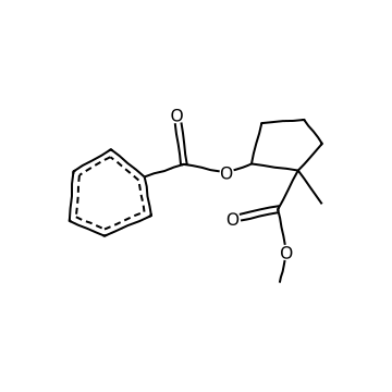 COC(=O)C1(C)CCCC1OC(=O)c1ccccc1